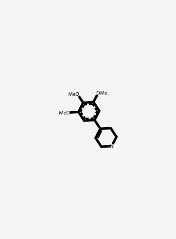 COc1cc(C2=CC[N]CC2)cc(OC)c1OC